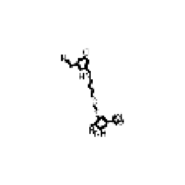 N#CCc1cc(Cl)cc(CNCCCCOCCOc2cc(-c3cnoc3)cc3[nH]ncc23)c1